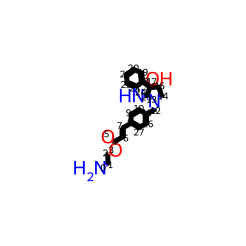 NCCOC(=O)/C=C/c1ccc(CN2CCC3(O)c4ccccc4NC23)cc1